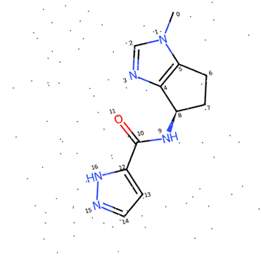 Cn1cnc2c1CC[C@H]2NC(=O)c1ccn[nH]1